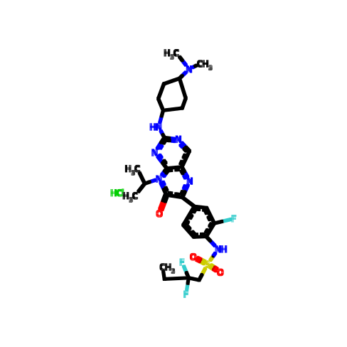 CCC(F)(F)CS(=O)(=O)Nc1ccc(-c2nc3cnc(NC4CCC(N(C)C)CC4)nc3n(C(C)C)c2=O)cc1F.Cl